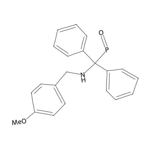 COc1ccc(CNC(P=O)(c2ccccc2)c2ccccc2)cc1